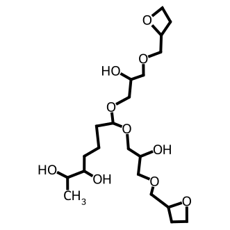 CC(O)C(O)CCCC(OCC(O)COCC1CCO1)OCC(O)COCC1CCO1